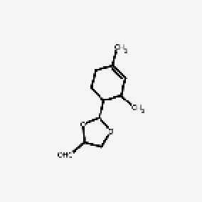 CC1=CC(C)C(C2OCC(C=O)O2)CC1